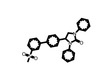 CS(=O)(=O)c1cccc(-c2ccc(C3CN(c4ccccc4)C(=O)N3c3ccccc3)cc2)c1